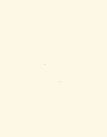 COC(=O)C(N)[C@@H](O)[C@H](Cc1ccccc1)C(=O)OC(C)(C)C